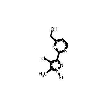 CCn1nc(-c2nccc(CO)n2)c(Cl)c1C